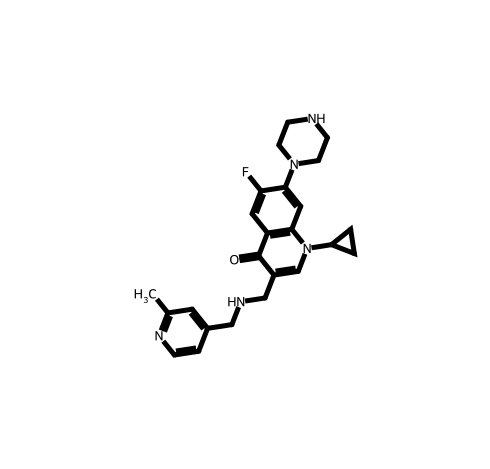 Cc1cc(CNCc2cn(C3CC3)c3cc(N4CCNCC4)c(F)cc3c2=O)ccn1